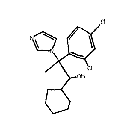 CC(c1ccc(Cl)cc1Cl)(C(O)C1CCCCC1)n1ccnc1